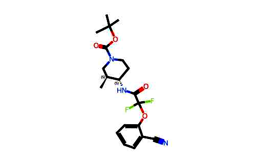 C[C@H]1CN(C(=O)OC(C)(C)C)CC[C@@H]1NC(=O)C(F)(F)Oc1ccccc1C#N